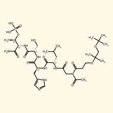 CC(=O)N(CC(=O)N[C@@H](CC(C)C)C(=O)N[C@@H](Cc1cnc[nH]1)C(=O)N[C@@H](CO)C(=O)N[C@H](C(N)=O)[C@@H](C)OP(=O)(O)O)C(=O)CCOC(C)(C)COC(C)(C)C